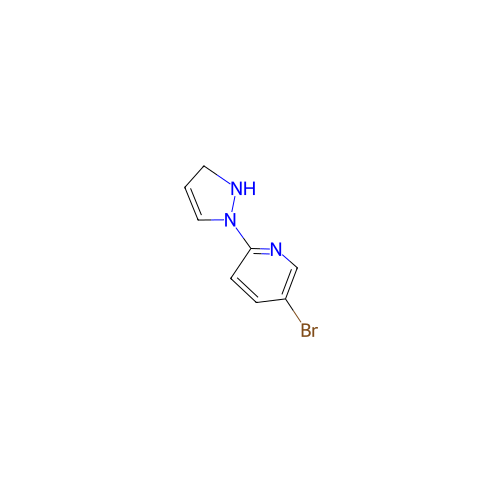 Brc1ccc(N2C=CCN2)nc1